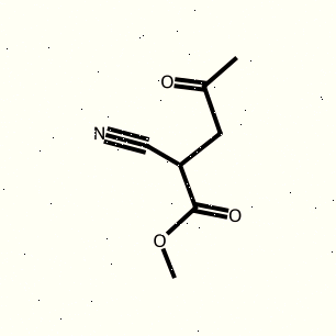 COC(=O)C(C#N)CC(C)=O